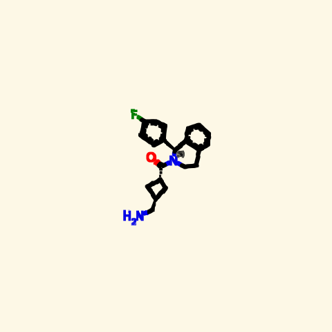 NC[C@H]1C[C@H](C(=O)N2CCc3ccccc3[C@@H]2c2ccc(F)cc2)C1